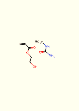 C=CC(=O)OCCO.NC(=O)NC(=O)O